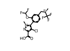 C[C@H](Cc1ccc(-c2c(Cl)c(C(=O)O)nn2C)c(OC(F)F)c1)C(F)(F)F